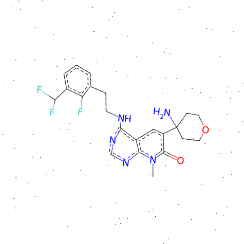 Cn1c(=O)c(C2(N)CCOCC2)cc2c(NCCc3cccc(C(F)F)c3F)ncnc21